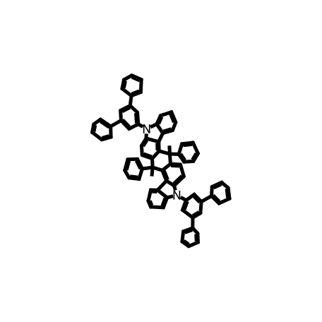 CC1(c2ccccc2)c2ccc3c(c2C(C)(c2ccccc2)c2ccc4c(c21)c1ccccc1n4-c1cc(-c2ccccc2)cc(-c2ccccc2)c1)c1ccccc1n3-c1cc(-c2ccccc2)cc(-c2ccccc2)c1